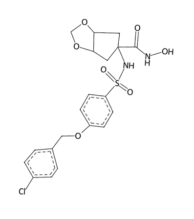 O=C(NO)C1(NS(=O)(=O)c2ccc(OCc3ccc(Cl)cc3)cc2)CC2OCOC2C1